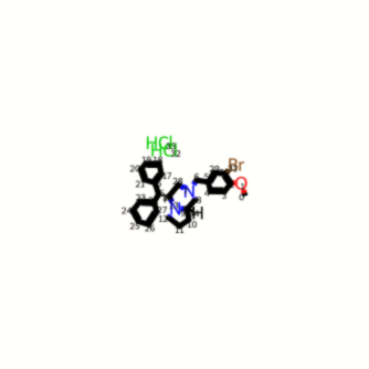 COc1ccc(CN2C[C@@H]3CCCN3[C@H](C(c3ccccc3)c3ccccc3)C2)cc1Br.Cl.Cl